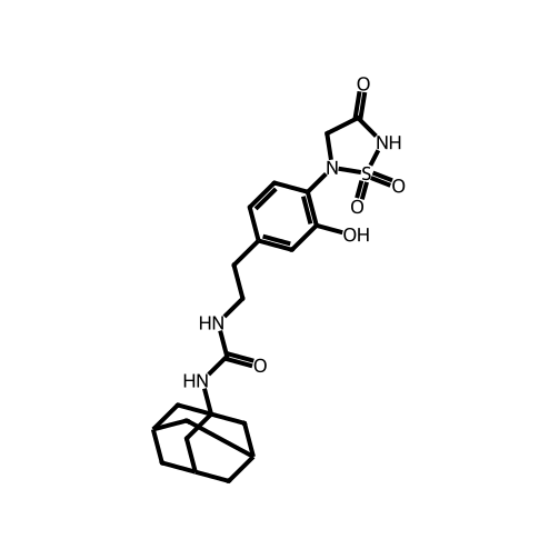 O=C1CN(c2ccc(CCNC(=O)NC34CC5CC(CC(C5)C3)C4)cc2O)S(=O)(=O)N1